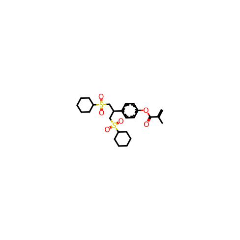 C=C(C)C(=O)Oc1ccc(C(CS(=O)(=O)C2CCCCC2)CS(=O)(=O)C2CCCCC2)cc1